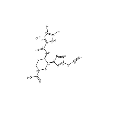 Cc1[nH]c(C(=O)N[C@@H]2CCN(C(=O)O)C[C@@H]2n2cc(CC#N)nn2)c(Cl)c1Cl